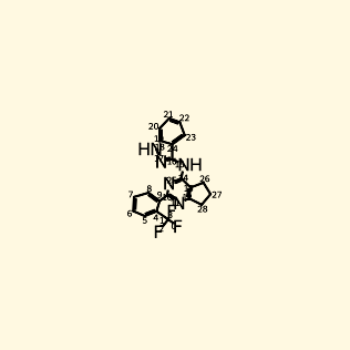 FC(F)(F)c1ccccc1-c1nc2c(c(Nc3n[nH]c4ccccc34)n1)CCC2